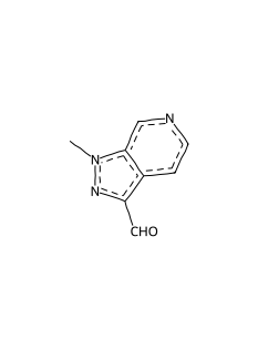 Cn1nc(C=O)c2ccncc21